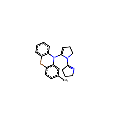 Cc1ccc2c(c1)N(C1=CCCN1C1=NCCC1)c1ccccc1S2